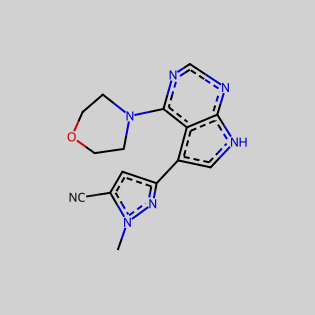 Cn1nc(-c2c[nH]c3ncnc(N4CCOCC4)c23)cc1C#N